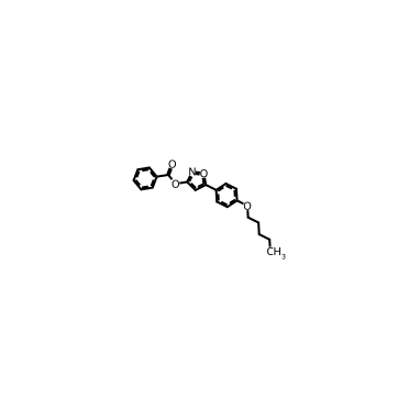 CCCCCOc1ccc(-c2cc(OC(=O)c3ccccc3)no2)cc1